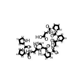 O=C(O)CNC(=O)[C@@H]1CCCN1C(=O)[C@@H]1CCCN1C(=O)CNC(=O)[C@@H]1CCCN1C(=O)[C@H](CS)NC(=O)CNC(=O)[C@@H]1CCCN1C(=O)[C@@H]1CCCN1